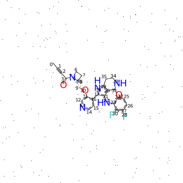 CC#CC(=O)N1CC[C@@H]1COc1cnccc1-c1[nH]c2c(c1Nc1cccc(F)c1F)C(=O)NCC2